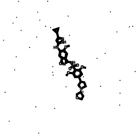 COc1cc2c(NS(=O)(=O)c3c(OC)cc(C4CCN([C@@H]5CCOC5)C4)cc3OC)noc2cc1Nc1cc(C2CC2)n[nH]1